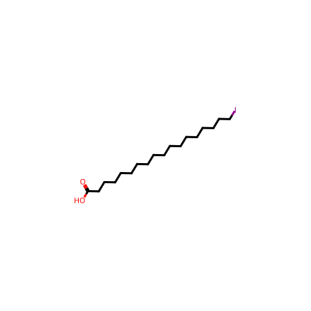 O=C(O)CCCCCCCCCCCCCCCCCI